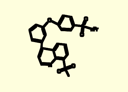 CCCS(=O)(=O)c1ccc(Oc2cccc(-c3ccnc4c(S(C)(=O)=O)cccc34)c2)cc1